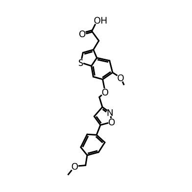 COCc1ccc(-c2cc(COc3cc4scc(CC(=O)O)c4cc3OC)no2)cc1